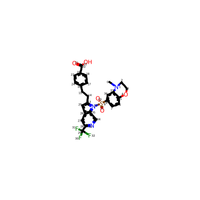 CN1CCOc2ccc(S(=O)(=O)n3c(CCc4ccc(C(=O)O)cc4)cc4cc(C(F)(F)F)ncc43)cc21